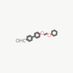 O=Cc1ccc(-c2ccc(OCCOC3CCCCC3)cc2)cc1